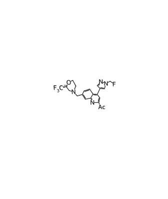 CC(=O)c1cc(-c2cnn(CF)c2)c2ccc(CN3CCO[C@H](C(F)(F)F)C3)cc2n1